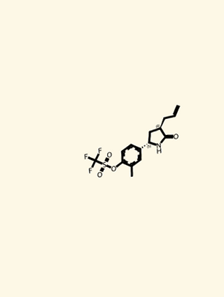 C=CC[C@@H]1C[C@@H](c2ccc(OS(=O)(=O)C(F)(F)F)c(C)c2)NC1=O